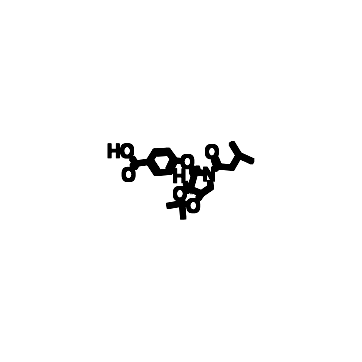 CC(C)CC(=O)N1CC2OC(C)(C)O[C@@H]2[C@H]1Oc1ccc(C(=O)O)cc1